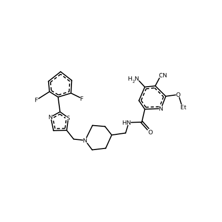 CCOc1nc(C(=O)NCC2CCN(Cc3cnc(-c4c(F)cccc4F)s3)CC2)cc(N)c1C#N